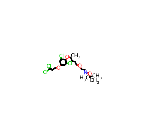 CC(CCCOCC=NOC(C)(C)C)Oc1c(Cl)cc(OCC=C(Cl)Cl)cc1Cl